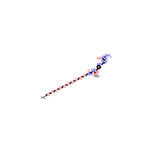 C#CCOCCOCCOCCOCCOCCOCCOCCOCCOCCOCCNC(=O)CC[C@H](NC(=O)c1ccc(NCc2cnc3nc(N)nc(O)c3n2)cc1)C(=O)OC(C)(C)C